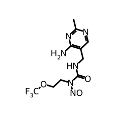 Cc1ncc(CNC(=O)N(CCOC(F)(F)F)N=O)c(N)n1